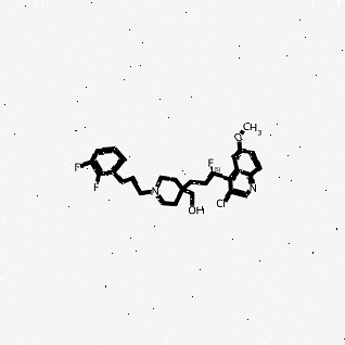 COc1ccc2ncc(Cl)c([C@@H](F)CCC3(CO)CCN(CCCc4cccc(F)c4F)CC3)c2c1